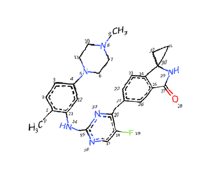 Cc1ccc(N2CCN(C)CC2)cc1Nc1ncc(F)c(-c2ccc3c(c2)C(=O)NC32CC2)n1